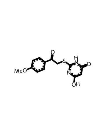 COc1ccc(C(=O)CSc2nc(O)cc(=O)[nH]2)cc1